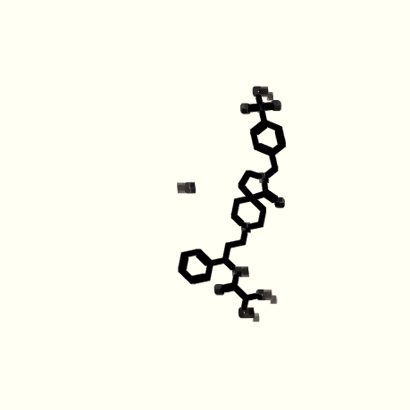 CC(C)C(=O)NC(CCN1CCC2(CC1)CCN(Cc1ccc(S(C)(=O)=O)cc1)C2=O)c1ccccc1.Cl